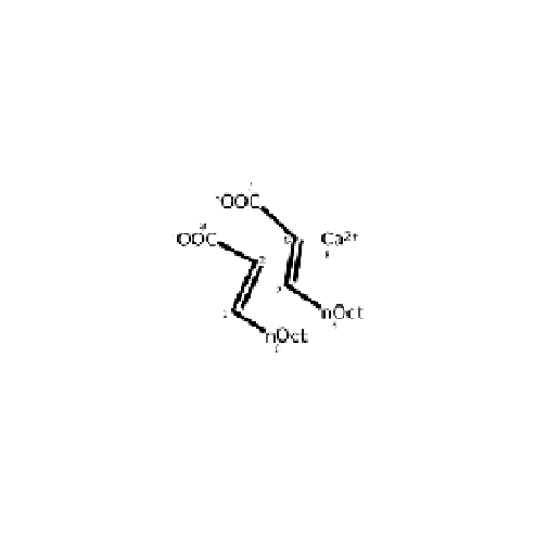 CCCCCCCCC=CC(=O)[O-].CCCCCCCCC=CC(=O)[O-].[Ca+2]